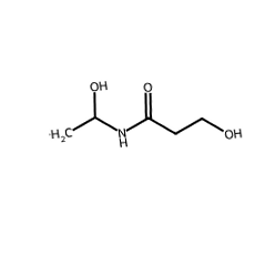 [CH2]C(O)NC(=O)CCO